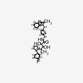 C=C(C(O)[C@@H](O)C(=O)NCc1ccc(Cn2c(C)nc3ccccc32)s1)N1CCCC1c1ccc(F)cc1